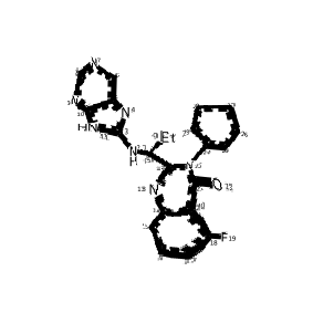 CC[C@H](Nc1nc2cncnc2[nH]1)c1nc2cccc(F)c2c(=O)n1-c1ccccc1